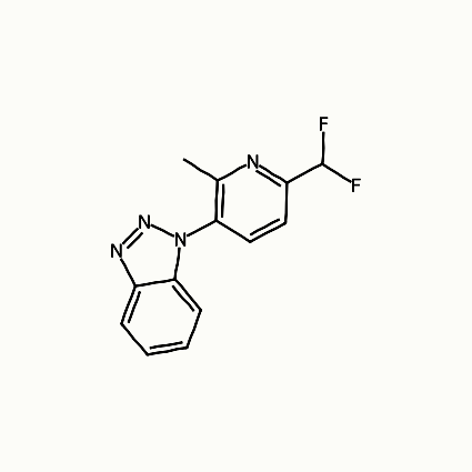 Cc1nc(C(F)F)ccc1-n1nnc2ccccc21